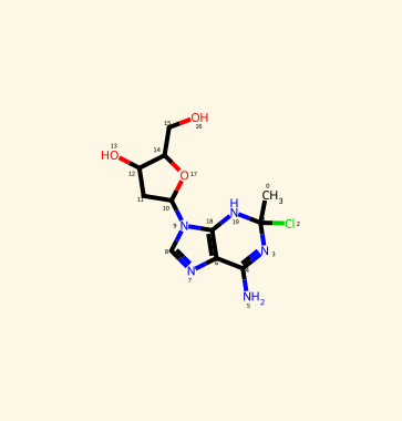 CC1(Cl)N=C(N)c2ncn(C3CC(O)C(CO)O3)c2N1